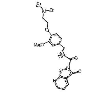 CCN(CC)CCOc1ccc(CNC(=O)n2sc3ncccc3c2=O)cc1OC